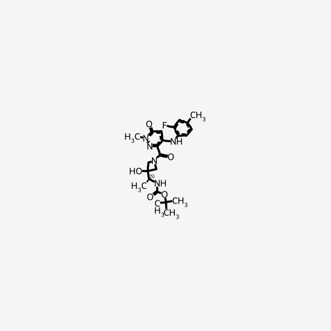 Cc1ccc(Nc2cc(=O)n(C)nc2C(=O)N2CC(O)([C@H](C)NC(=O)OC(C)(C)C)C2)c(F)c1